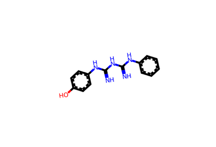 N=C(NC(=N)Nc1ccc(O)cc1)Nc1ccccc1